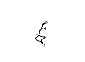 O=CNC[C@@H]1CCC(=O)N1